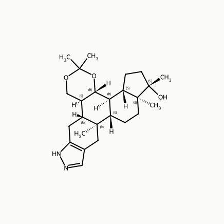 CC1(C)OC[C@H]2[C@H](O1)[C@@H]1[C@H](CC[C@@]3(C)[C@H]1CC[C@]3(C)O)[C@@]1(C)Cc3cn[nH]c3C[C@H]21